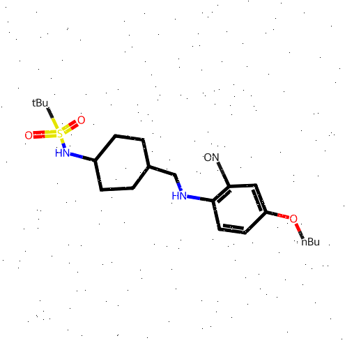 CCCCOc1ccc(NCC2CCC(NS(=O)(=O)C(C)(C)C)CC2)c(N=O)c1